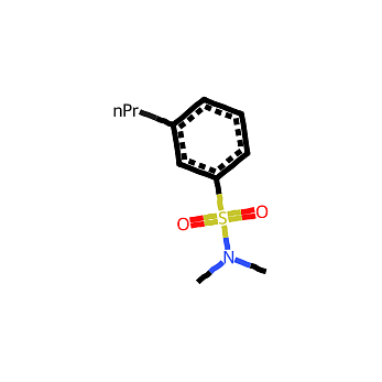 CCCc1cccc(S(=O)(=O)N(C)C)c1